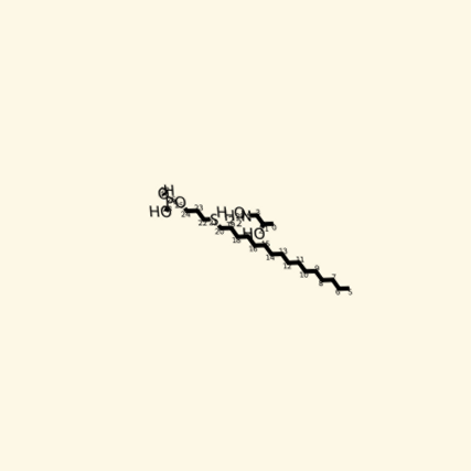 CC(O)CN.CCCCCCCCCCCCCCCCSCCCO[PH](=O)O.O